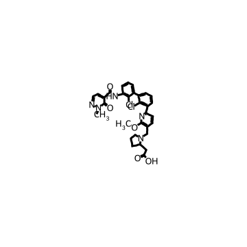 COc1nc(-c2cccc(-c3cccc(NC(=O)c4ccnn(C)c4=O)c3Cl)c2Cl)ccc1CN1CCCC1CC(=O)O